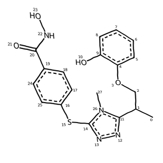 CC(COc1ccccc1O)c1nnc(Sc2ccc(C(=O)NO)cc2)n1C